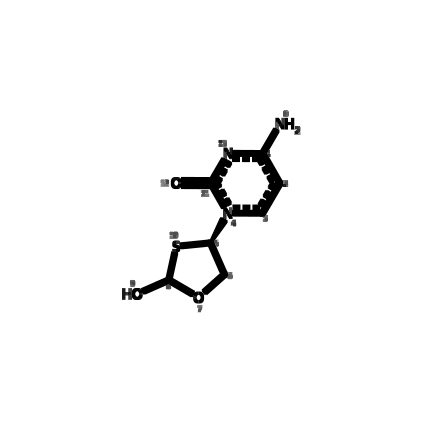 Nc1ccn([C@H]2COC(O)S2)c(=O)n1